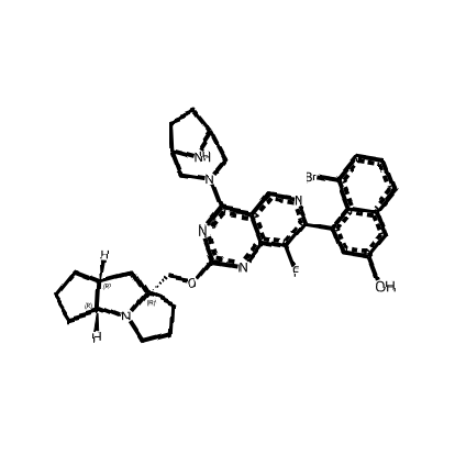 Oc1cc(-c2ncc3c(N4CC5CCC(C4)N5)nc(OC[C@]45CCCN4[C@@H]4CCC[C@@H]4C5)nc3c2F)c2c(Br)cccc2c1